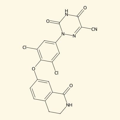 N#Cc1nn(-c2cc(Cl)c(Oc3ccc4c(c3)C(=O)NCC4)c(Cl)c2)c(=O)[nH]c1=O